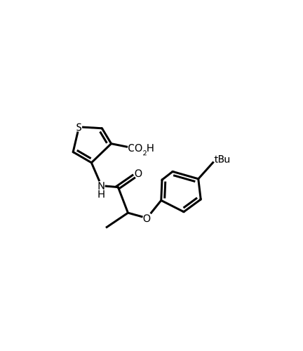 CC(Oc1ccc(C(C)(C)C)cc1)C(=O)Nc1cscc1C(=O)O